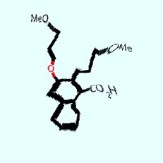 COCCCOc1cc2ccccc2c(C(=O)O)c1CCCOC